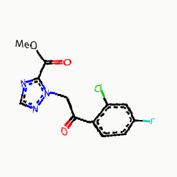 COC(=O)c1ncnn1CC(=O)c1ccc(F)cc1Cl